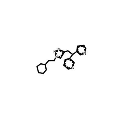 c1cncc(C(Cc2cn(CCC3CCCCC3)nn2)c2cccnc2)c1